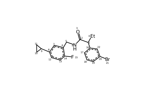 CCC(C(=O)NCc1cc(C2CC2)ccc1F)c1cccc(Br)c1